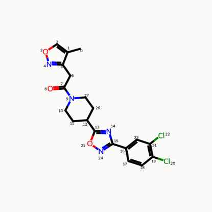 Cc1conc1CC(=O)N1CCC(c2nc(-c3ccc(Cl)c(Cl)c3)no2)CC1